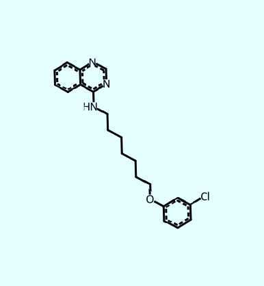 Clc1cccc(OCCCCCCCNc2ncnc3ccccc23)c1